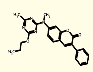 CCCOc1nc(C)nc(N(C)c2ccc3cc(-c4ccccc4)c(=O)oc3c2)n1